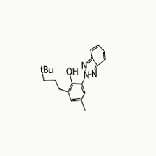 Cc1cc(CCCC(C)(C)C)c(O)c(-n2nc3ccccc3n2)c1